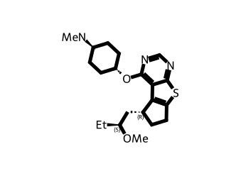 CC[C@@H](C[C@H]1CCc2sc3ncnc(O[C@H]4CC[C@H](NC)CC4)c3c21)OC